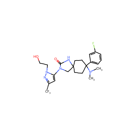 CN(C)C1(c2cccc(F)c2)CCC2(CC1)CN(c1cc(C(F)(F)F)nn1CCO)C(=O)N2